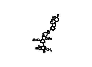 COc1cc(-c2cn(C)c(=O)c3c[nH]nc23)cc(OC)c1CN1CCC2(CC1)CN(c1ccc3c(c1)C(=O)N(C1CCC(=O)NC1=O)C3)C2